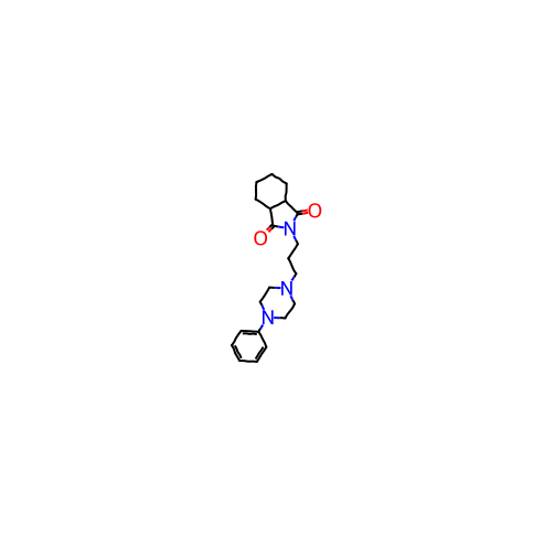 O=C1C2CCCCC2C(=O)N1CCCN1CCN(c2ccccc2)CC1